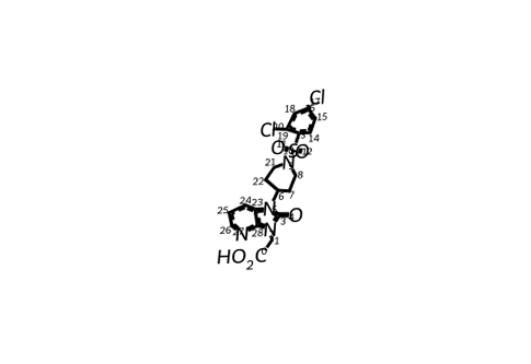 O=C(O)Cn1c(=O)n(C2CCN(S(=O)(=O)c3ccc(Cl)cc3Cl)CC2)c2cccnc21